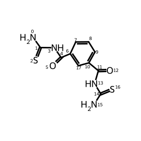 NC(=S)NC(=O)c1cccc(C(=O)NC(N)=S)c1